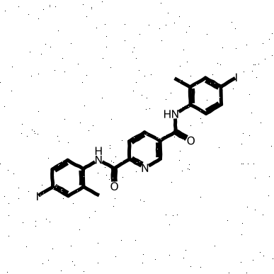 Cc1cc(I)ccc1NC(=O)c1ccc(C(=O)Nc2ccc(I)cc2C)nc1